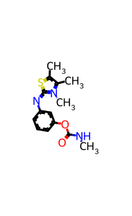 CNC(=O)Oc1cccc(N=c2sc(C)c(C)n2C)c1